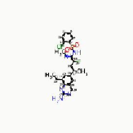 C=N/C(NS(=O)(=O)c1ccccc1Cl)=C(F)\C=C(/C)c1cc(CC)c2nc(N)ncc2c1